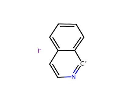 [C+]1=NC=Cc2ccccc21.[I-]